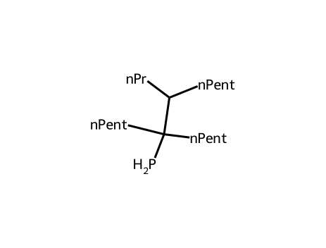 CCCCCC(CCC)C(P)(CCCCC)CCCCC